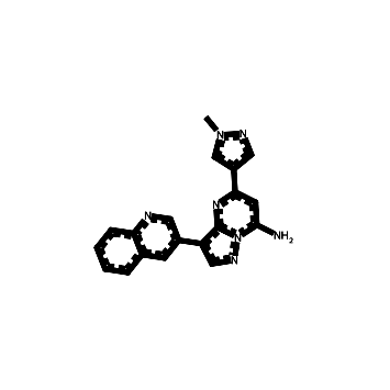 Cn1cc(-c2cc(N)n3ncc(-c4cnc5ccccc5c4)c3n2)cn1